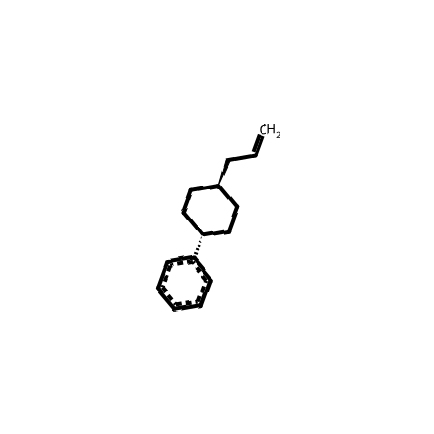 C=CC[C@H]1CC[C@H](c2ccccc2)CC1